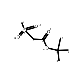 CC(C)(C)OC(=O)CS(C)(=O)=O